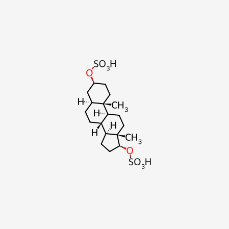 C[C@]12CC[C@H](OS(=O)(=O)O)C[C@@H]1CC[C@@H]1[C@@H]2CC[C@]2(C)[C@@H](OS(=O)(=O)O)CC[C@@H]12